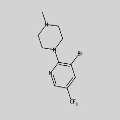 CN1CCN(c2ncc(C(F)(F)F)cc2Br)CC1